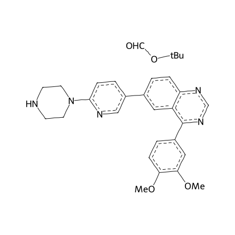 CC(C)(C)OC=O.COc1ccc(-c2ncnc3ccc(-c4ccc(N5CCNCC5)nc4)cc23)cc1OC